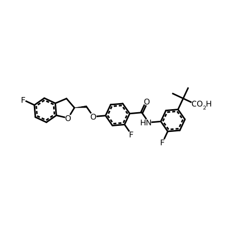 CC(C)(C(=O)O)c1ccc(F)c(NC(=O)c2ccc(OC[C@@H]3Cc4cc(F)ccc4O3)cc2F)c1